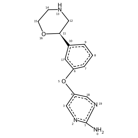 Nc1ncc(Oc2cccc([C@@H]3CNCCO3)c2)cn1